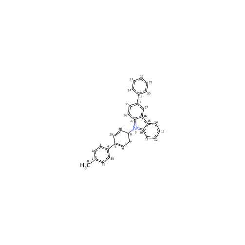 Cc1ccc(C2=CCC(n3c4ccccc4c4cc(-c5ccccc5)ccc43)C=C2)cc1